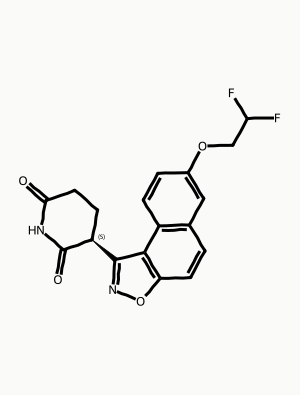 O=C1CC[C@@H](c2noc3ccc4cc(OCC(F)F)ccc4c23)C(=O)N1